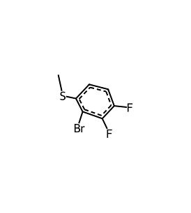 CSc1ccc(F)c(F)c1Br